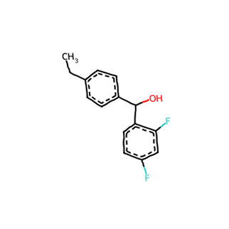 CCc1ccc(C(O)c2ccc(F)cc2F)cc1